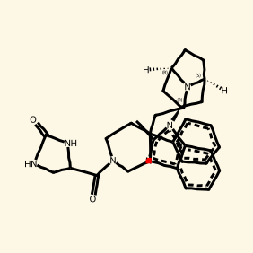 Cc1nc2ccccc2n1[C@H]1C[C@H]2CC[C@@H](C1)N2CCC1(c2ccccc2)CCN(C(=O)C2CNC(=O)N2)CC1